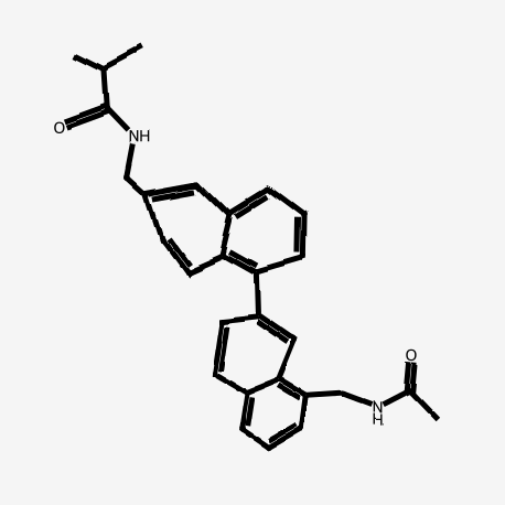 CC(=O)NCc1cccc2ccc(-c3cccc4cc(CNC(=O)C(C)C)ccc34)cc12